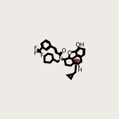 O=C(/C=C/c1cccc(C(F)(F)F)c1)N(CC1CCCCC1)C1CC[C@@]2(O)[C@H]3Cc4ccc(O)c5c4[C@@]2(CCN3CC2CC2)C1O5